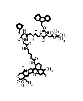 CC[C@@]1(O)C(=O)OCc2c1cc1n(c2=O)Cc2c-1nc1cc(F)c(C)c3c1c2[C@@H](NC(=O)CCCCNC(=O)CNC(=O)[C@H](Cc1ccccc1)NC(=O)CNC(=O)CNC(=O)[C@H](CC(=O)OC(C)(C)C)NC(=O)OCC1c2ccccc2-c2ccccc21)CC3